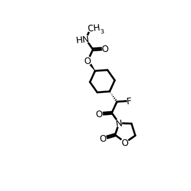 CNC(=O)O[C@H]1CC[C@H](C(F)C(=O)N2CCOC2=O)CC1